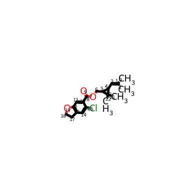 CC(C)=CC1C(COC(=O)c2cc3c(cc2Cl)CCO3)C1(C)C